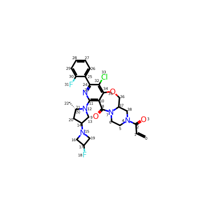 C=CC(=O)N1CCN2C(=O)c3c(N4CC(N5CC(F)C5)C[C@@H]4C)nc(-c4ccccc4F)c(Cl)c3OCC2C1